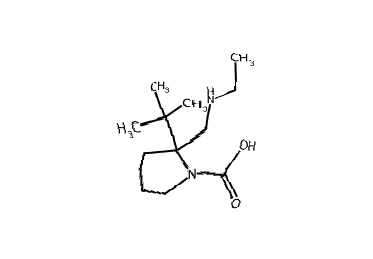 CCNCC1(C(C)(C)C)CCCN1C(=O)O